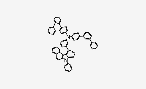 c1ccc(-c2cccc(-c3ccc(N(c4ccc(-c5ccccc5-c5ccccc5)cc4)c4cccc(-c5cccc6c5c5c7ccccc7ccc5n6-c5ccccc5)c4)cc3)c2)cc1